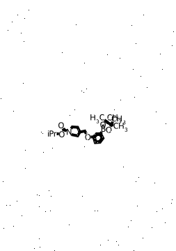 CC(C)OC(=O)N1CCC(COc2cccc(B3OC(C)(C)C(C)(C)O3)c2)CC1